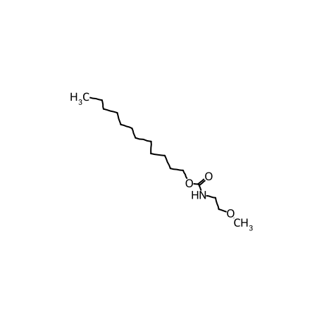 CCCCCCCCCCCCOC(=O)NCCOC